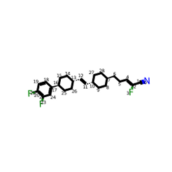 N#CC(F)=CCC[C@H]1CC[C@H](/C=C/[C@H]2CC[C@H](c3ccc(F)c(F)c3)CC2)CC1